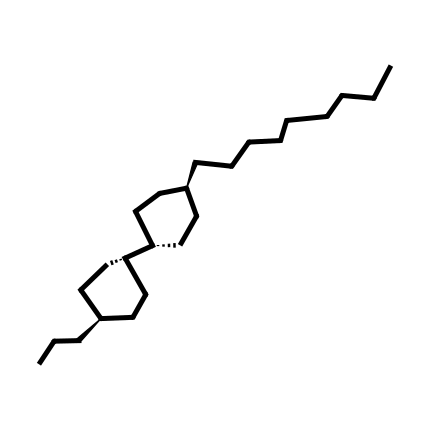 CCCCCCCCC[C@H]1CC[C@H]([C@H]2CC[C@H](CCC)CC2)CC1